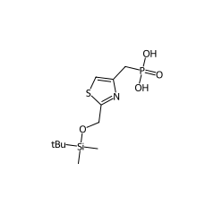 CC(C)(C)[Si](C)(C)OCc1nc(CP(=O)(O)O)cs1